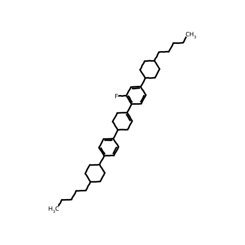 CCCCCC1CCC(c2ccc(C3CC=C(c4ccc(C5CCC(CCCCC)CC5)cc4F)CC3)cc2)CC1